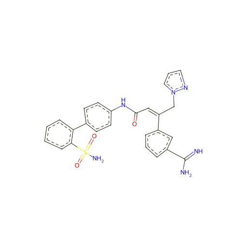 N=C(N)c1cccc(/C(=C\C(=O)Nc2ccc(-c3ccccc3S(N)(=O)=O)cc2)Cn2cccn2)c1